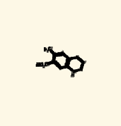 Cc1cc2c(cc1C(=O)O)NCCC2